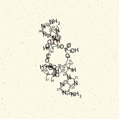 CC(C)(C)[Si](C)(C)OC1[C@H]2OP(=O)(O)OCC34C[C@@H]3[C@@H](n3cnc5c(N)ncnc53)C(O[Si](C)(C)C(C)(C)C)[C@@H]4O[P@@](=O)(S)OC[C@H]1O[C@H]2n1cnc2c(N)ncnc21